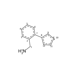 NCc1ccccc1-c1[c]scc1